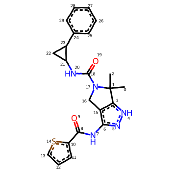 CC1(C)c2[nH]nc(NC(=O)c3cccs3)c2CN1C(=O)NC1CC1c1ccccc1